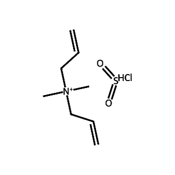 C=CC[N+](C)(C)CC=C.Cl.O=S=O